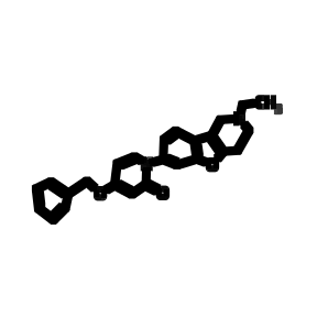 CCN1CCc2oc3cc(-n4ccc(OCc5ccccc5)cc4=O)ccc3c2C1